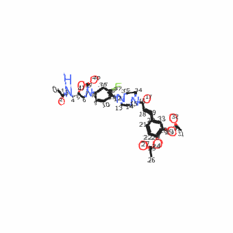 CC(=O)NC[C@H]1CN(c2ccc(N3CCN(C(=O)C=Cc4ccc(OC(C)=O)c(OC(C)=O)c4)CC3)c(F)c2)C(=O)O1